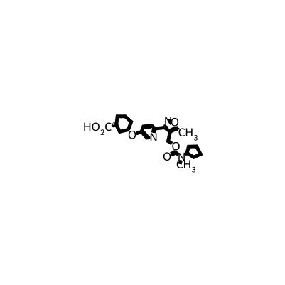 Cc1onc(-c2ccc(OC3CCC[C@H](C(=O)O)C3)cn2)c1COC(=O)N(C)C1CCCC1